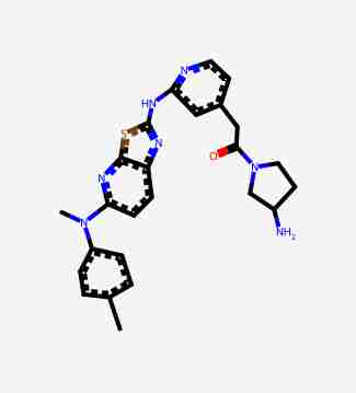 Cc1ccc(N(C)c2ccc3nc(Nc4cc(CC(=O)N5CCC(N)C5)ccn4)sc3n2)cc1